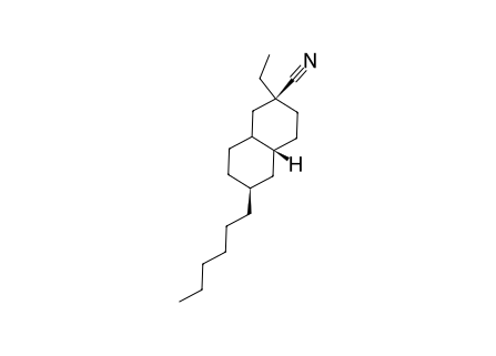 CCCCCC[C@H]1CCC2C[C@](C#N)(CC)CC[C@@H]2C1